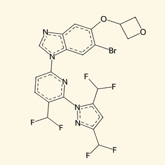 FC(F)c1cc(C(F)F)n(-c2nc(-n3cnc4cc(OC5COC5)c(Br)cc43)ccc2C(F)F)n1